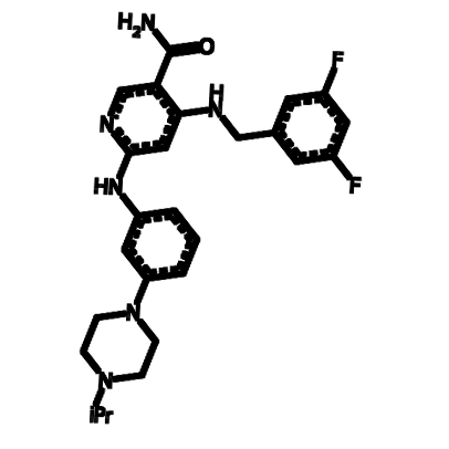 CC(C)N1CCN(c2cccc(Nc3cc(NCc4cc(F)cc(F)c4)c(C(N)=O)cn3)c2)CC1